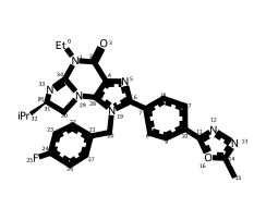 CCN1C(=O)c2nc(-c3ccc(-c4nnc(C)o4)cc3)n(Cc3ccc(F)cc3)c2N2C[C@@H](C(C)C)N=C12